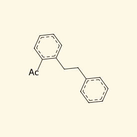 CC(=O)c1ccccc1CCc1ccccc1